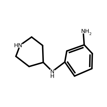 Nc1cccc(NC2CCNCC2)c1